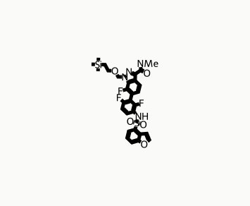 CNC(=O)c1nn(COCC[Si](C)(C)C)c2c(F)c(-c3c(F)ccc(NS(=O)(=O)c4cccc5occc45)c3F)ccc12